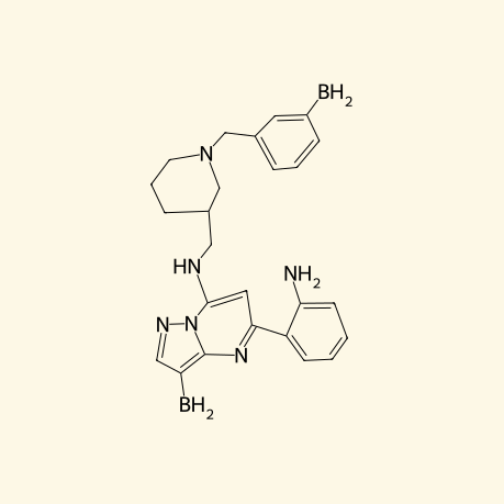 Bc1cccc(CN2CCCC(CNc3cc(-c4ccccc4N)nc4c(B)cnn34)C2)c1